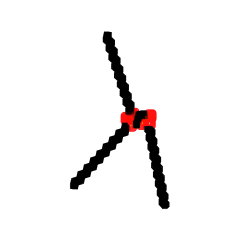 CCCCCCCCCCCCCCCCCCOP1(=O)CCC(C)(P(=O)(OCCCCCCCCCCCCCCCCCC)OCCCCCCCCCCCCCCCCCC)O1